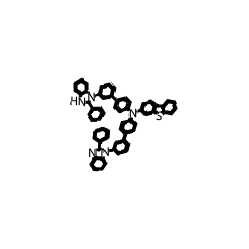 c1ccc(-c2nc3ccccc3n2-c2cccc(-c3ccc(N(c4ccc(-c5cccc(N6c7ccccc7NC6c6ccccc6)c5)cc4)c4ccc5c(c4)sc4ccccc45)cc3)c2)cc1